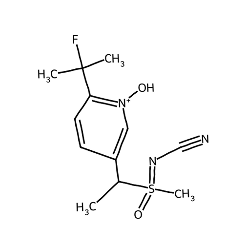 CC(c1ccc(C(C)(C)F)[n+](O)c1)S(C)(=O)=NC#N